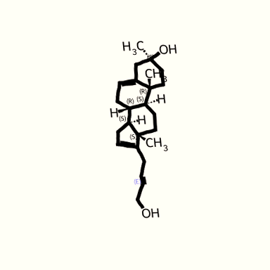 C[C@]1(O)CC[C@@]2(C)C(=CC[C@@H]3[C@@H]2CC[C@]2(C)C(C/C=C/CO)=CC[C@@H]32)C1